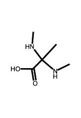 CNC(C)(NC)C(=O)O